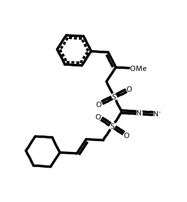 COC(=Cc1ccccc1)CS(=O)(=O)C(=[N+]=[N-])S(=O)(=O)CC=CC1CCCCC1